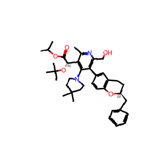 Cc1nc(CO)c(-c2ccc3c(c2)CC[C@@H](Cc2ccccc2)O3)c(N2CCC(C)(C)CC2)c1[C@H](OC(C)(C)C)C(=O)OC(C)C